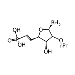 B[C@@H]1O[C@H](/C=C/P(=O)(O)O)[C@H](O)C1OCCC